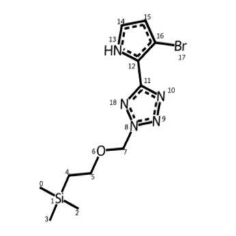 C[Si](C)(C)CCOCn1nnc(-c2[nH]ccc2Br)n1